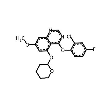 COc1cc(OC2CCCCO2)c2c(Oc3ccc(F)cc3Cl)ncnc2c1